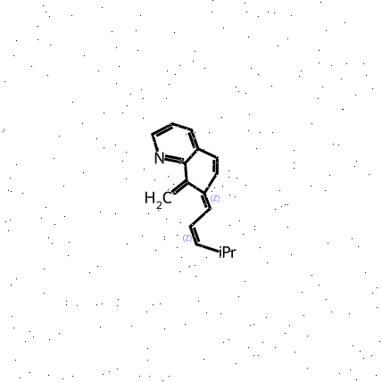 C=c1/c(=C\C=C/C(C)C)ccc2cccnc12